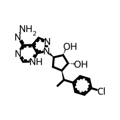 CC(c1ccc(Cl)cc1)[C@H]1C[C@@H](n2ncc3/c(=N\N)nc[nH]c32)[C@H](O)[C@@H]1O